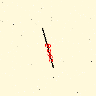 CCCCCCCCCCCCCCCCOC(=O)CCCOCCOCCOCCOCCCCCCC